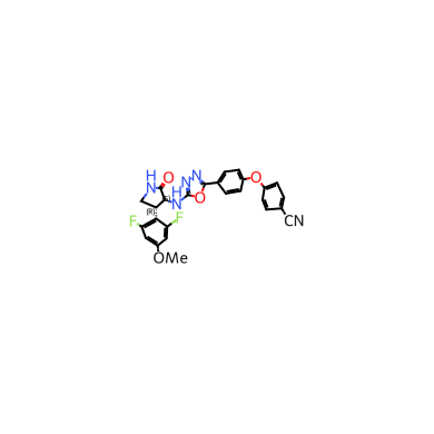 COc1cc(F)c([C@@H]2CNC(=O)[C@H]2Nc2nnc(-c3ccc(Oc4ccc(C#N)cc4)cc3)o2)c(F)c1